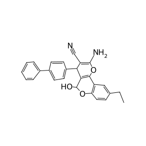 CCc1ccc2c(c1)C1=C(C(O)O2)C(c2ccc(-c3ccccc3)cc2)C(C#N)=C(N)O1